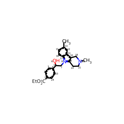 CCOC(=O)c1ccc(C(O)Cn2c3c(c4cc(C)ccc42)CN(C)CC3)cc1